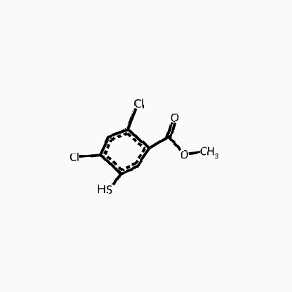 COC(=O)c1cc(S)c(Cl)cc1Cl